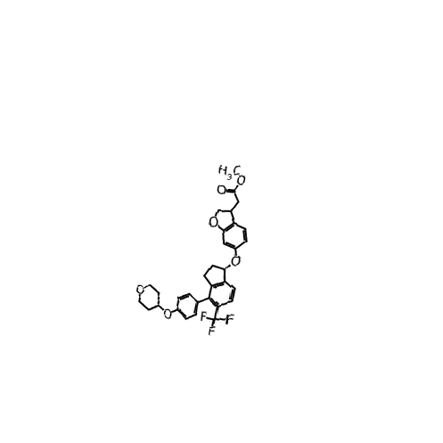 COC(=O)CC1COc2cc(O[C@@H]3CCc4c3ccc(C(F)(F)F)c4-c3ccc(OC4CCOCC4)cc3)ccc21